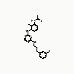 CC(=O)Nc1cccc(Nc2ncnc(NCCCc3cccc(F)c3)n2)c1C